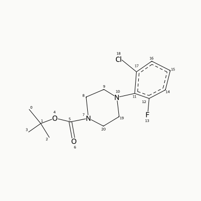 CC(C)(C)OC(=O)N1CCN(c2c(F)cccc2Cl)CC1